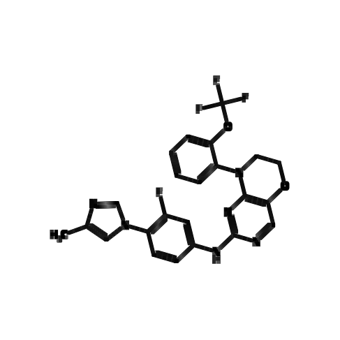 Cc1cn(-c2ccc(Nc3ncc4c(n3)N(c3ccccc3OC(F)(F)F)CCO4)cc2F)cn1